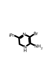 CC(C)C1=NC(Br)=C(N)NC1